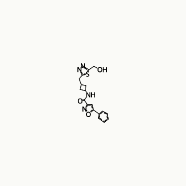 O=C(NC1CC(Cc2nnc(CO)s2)C1)c1cc(-c2ccccc2)on1